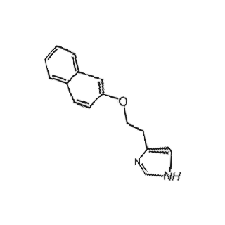 c1ccc2cc(OCCc3c[nH]cn3)ccc2c1